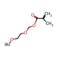 C=C(C)C(=O)OCOCCOC(C)CC